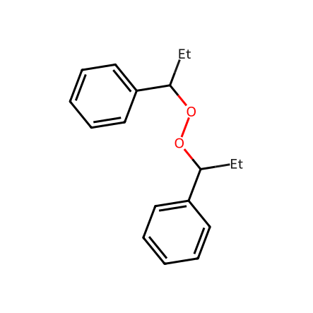 CCC(OOC(CC)c1ccccc1)c1ccccc1